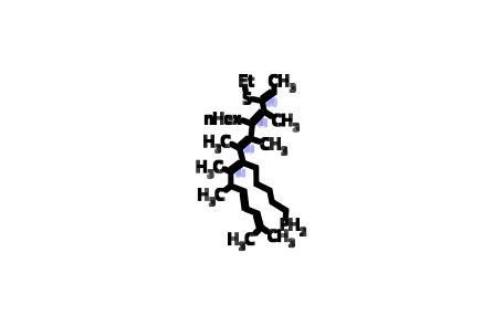 C/C=C(SCC)/C(C)=C(CCCCCC)/C(C)=C(C)/C(CCCCCP)=C(\C)C(C)C=CC=C(C)C